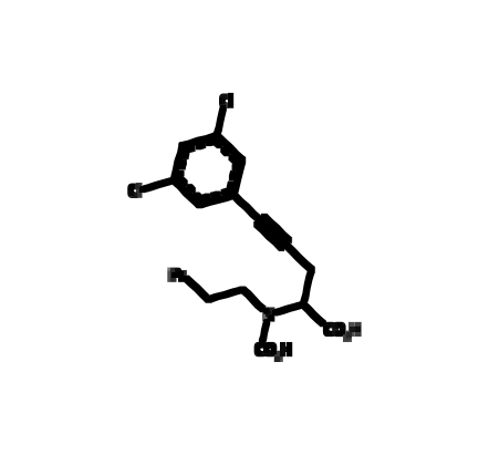 CC(C)CCN(C(=O)O)C(CC#Cc1cc(Cl)cc(Cl)c1)C(=O)O